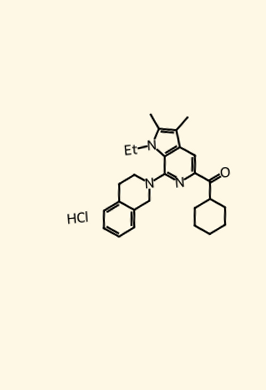 CCn1c(C)c(C)c2cc(C(=O)C3CCCCC3)nc(N3CCc4ccccc4C3)c21.Cl